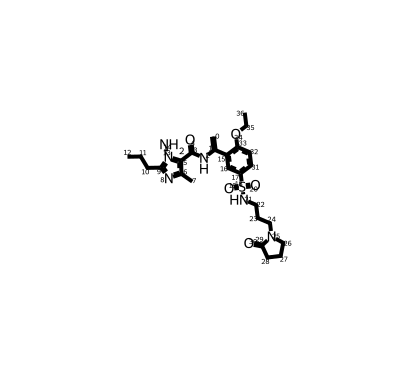 C=C(NC(=O)c1c(C)nc(CCC)n1N)c1cc(S(=O)(=O)NCCCN2CCCC2=O)ccc1OCC